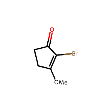 COC1=C(Br)C(=O)CC1